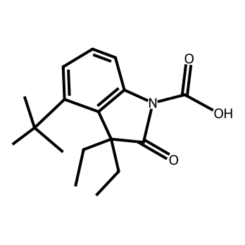 CCC1(CC)C(=O)N(C(=O)O)c2cccc(C(C)(C)C)c21